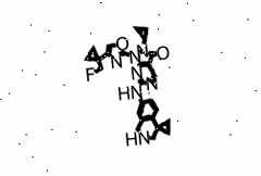 O=c1c2cnc(Nc3ccc4c(c3)CNCC43CC3)nc2n(-c2nc(C3(CF)CC3)co2)n1C1CC1